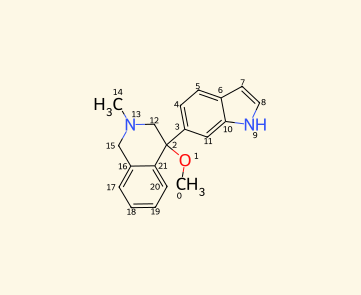 COC1(c2ccc3cc[nH]c3c2)CN(C)Cc2ccccc21